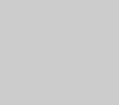 Cc1cccc(C)c1N1C(=O)C2(C=CCN2C(=O)c2ccco2)C2C(=O)c3ccccc3OC21